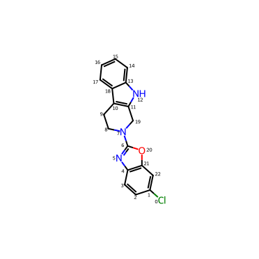 Clc1ccc2nc(N3CCc4c([nH]c5ccccc45)C3)oc2c1